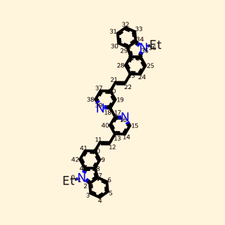 CCn1c2ccccc2c2cc(C=Cc3ccnc(-c4cc(C=Cc5ccc6c(c5)c5ccccc5n6CC)ccn4)c3)ccc21